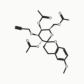 C#CCO[C@H]1[C@@H](OC(C)=O)[C@@H](COC(C)=O)O[C@@]2(CCc3cc(OC)ccc3O2)[C@@H]1OC(C)=O